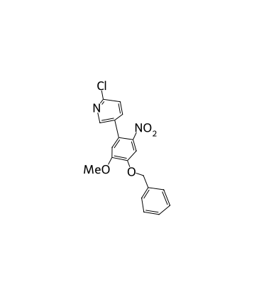 COc1cc(-c2ccc(Cl)nc2)c([N+](=O)[O-])cc1OCc1ccccc1